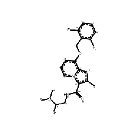 Cc1nc2c(OCc3c(F)cccc3F)cccn2c1C(=O)NCC(C(C)C)N(C)C